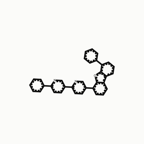 c1ccc(-c2ccc(-c3ccc(-c4cccc5c4oc4c(-c6ccccc6)cccc45)cn3)cn2)cc1